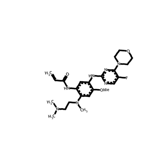 C=CC(=O)Nc1cc(Nc2ncc(F)c(N3CCOCC3)n2)c(OC)cc1N(C)CCN(C)C